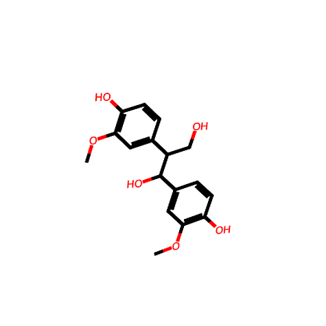 COc1cc(C(O)C(CO)c2ccc(O)c(OC)c2)ccc1O